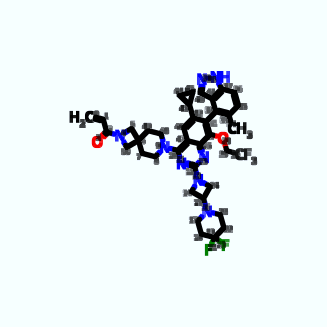 C=CC(=O)N1CC2(CCN(c3nc(N4CC(N5CCC(F)(F)CC5)C4)nc4c(OCC(F)(F)F)c(-c5c(C)ccc6[nH]ncc56)c(C5CC5)cc34)CC2)C1